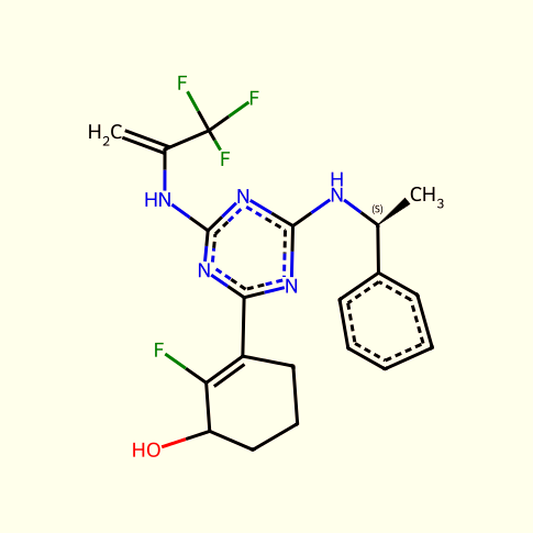 C=C(Nc1nc(N[C@@H](C)c2ccccc2)nc(C2=C(F)C(O)CCC2)n1)C(F)(F)F